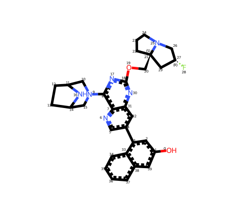 Oc1cc(-c2cnc3c(N4CC5CCC(C4)N5)nc(OC[C@@]45CCCN4C[C@H](F)C5)nc3c2)c2ccccc2c1